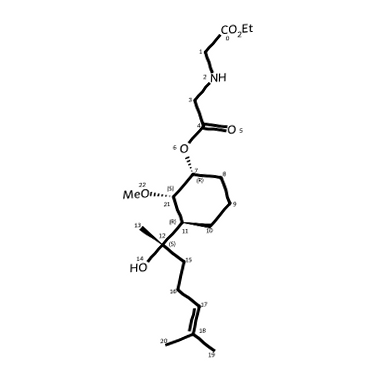 CCOC(=O)CNCC(=O)O[C@@H]1CCC[C@@H]([C@@](C)(O)CCC=C(C)C)[C@@H]1OC